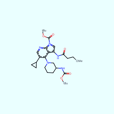 COCCC(=O)Nc1cn(C(=O)OC(C)(C)C)c2ncc(C3CC3)c(N3CCCC(NC(=O)OC(C)(C)C)C3)c12